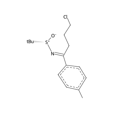 Cc1ccc(C(CCCCl)=N[S@@+]([O-])C(C)(C)C)cc1